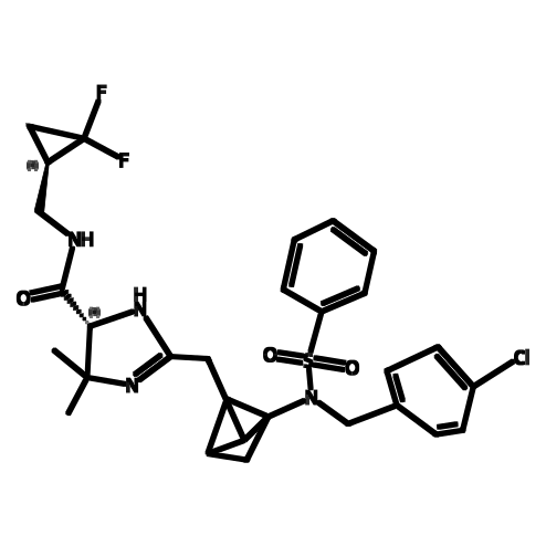 CC1(C)N=C(CC2C3CC2(N(Cc2ccc(Cl)cc2)S(=O)(=O)c2ccccc2)C3)N[C@H]1C(=O)NC[C@H]1CC1(F)F